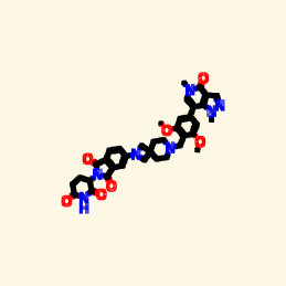 COc1cc(-c2cn(C)c(=O)c3cnn(C)c23)cc(OC)c1CN1CCC2(CC1)CN(c1ccc3c(c1)C(=O)N(C1CCC(=O)NC1=O)C3=O)C2